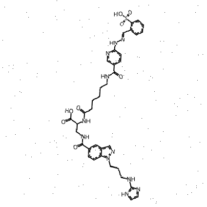 O=C(CCCCCNC(=O)c1ccc(NN=Cc2ccccc2S(=O)(=O)O)nc1)NC(CNC(=O)c1ccc2c(cnn2CCCNc2ncc[nH]2)c1)C(=O)O